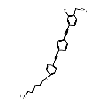 CCCCCCCc1ccc(C#Cc2ccc(C#Cc3ccc(CC)c(F)c3)cc2)cc1